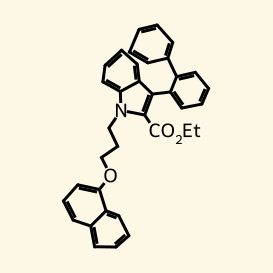 CCOC(=O)c1c(-c2ccccc2-c2ccccc2)c2ccccc2n1CCCOc1cccc2ccccc12